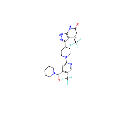 O=C1C[C@@H](C(F)(F)F)c2c(C3CCN(c4cc(C(=O)N5CCCCC5)c(C(F)(F)F)cn4)CC3)n[nH]c2N1